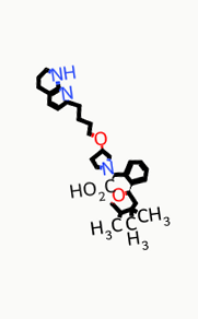 CC1CO[C@H](c2ccccc2[C@H](C(=O)O)N2CC[C@@H](OCCCCc3ccc4c(n3)NCCC4)C2)CC1(C)C